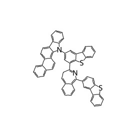 C1=c2ccccc2=C(c2ccc3sc4ccccc4c3c2)N=C(c2cc(-n3c4ccccc4c4ccc5c6ccccc6ccc5c43)cc3c2sc2ccccc23)C1